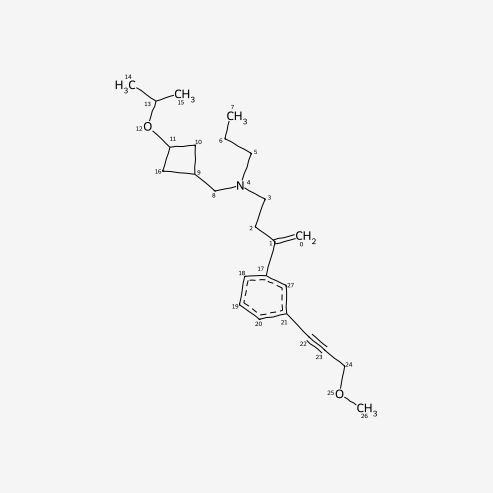 C=C(CCN(CCC)CC1CC(OC(C)C)C1)c1cccc(C#CCOC)c1